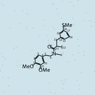 COc1ccc(CCN(C)C(=O)C(I)Cc2cccc(SC)c2)cc1OC